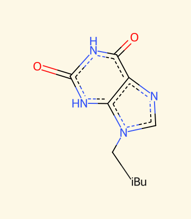 CCC(C)Cn1cnc2c(=O)[nH]c(=O)[nH]c21